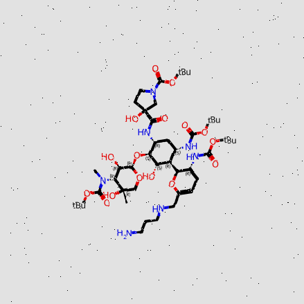 CN(C(=O)OC(C)(C)C)[C@@H]1[C@@H](O)[C@@H](O[C@@H]2[C@@H](O)[C@H](C3OC(CNCCCN)=CC[C@H]3NC(=O)OC(C)(C)C)[C@@H](NC(=O)OC(C)(C)C)C[C@H]2NC(=O)C2(O)CCN(C(=O)OC(C)(C)C)C2)OC[C@]1(C)O